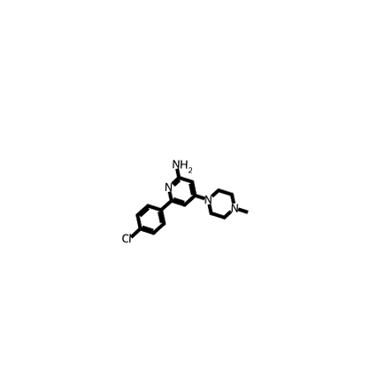 CN1CCN(c2cc(N)nc(-c3ccc(Cl)cc3)c2)CC1